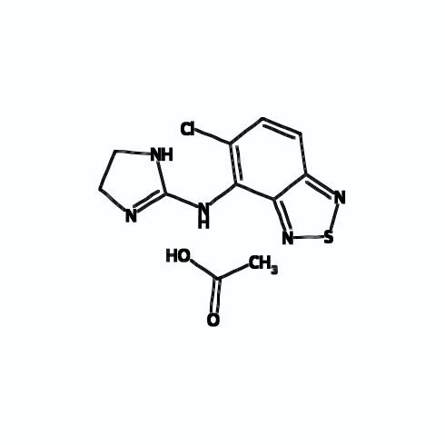 CC(=O)O.Clc1ccc2nsnc2c1NC1=NCCN1